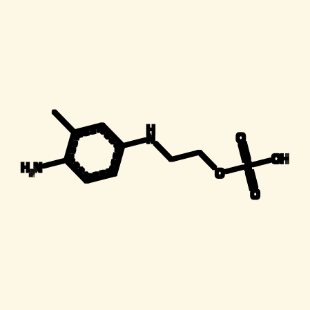 Cc1cc(NCCOS(=O)(=O)O)ccc1N